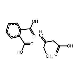 C=C(CC)CC(=O)O.O=C(O)c1ccccc1C(=O)O